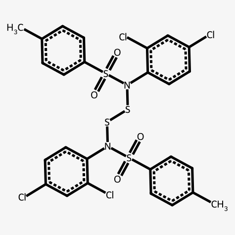 Cc1ccc(S(=O)(=O)N(SSN(c2ccc(Cl)cc2Cl)S(=O)(=O)c2ccc(C)cc2)c2ccc(Cl)cc2Cl)cc1